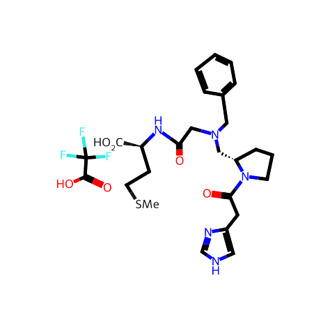 CSCC[C@H](NC(=O)CN(Cc1ccccc1)C[C@@H]1CCCN1C(=O)Cc1c[nH]cn1)C(=O)O.O=C(O)C(F)(F)F